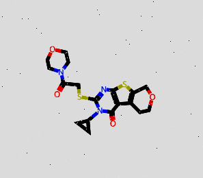 O=C(CSc1nc2sc3c(c2c(=O)n1C1CC1)CCOC3)N1CCOCC1